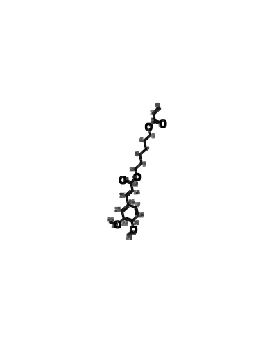 C=CC(=O)OCCCCCCOC(=O)/C=C/c1ccc(OC)c(OC)c1